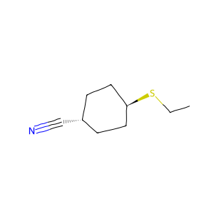 CCS[C@H]1CC[C@H](C#N)CC1